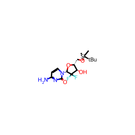 CC(C)(C)[Si](C)(C)OC[C@H]1O[C@@H](n2ccc(N)nc2=O)C(F)(F)[C@H]1O